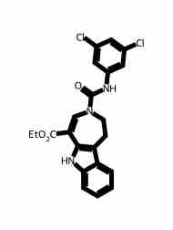 CCOC(=O)C1=CN(C(=O)Nc2cc(Cl)cc(Cl)c2)CCc2c1[nH]c1ccccc21